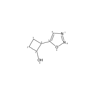 OC1CCC1c1cnno1